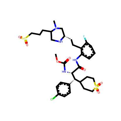 COC(=O)N[C@H](C(=O)Nc1cccc(F)c1CC[C@H]1CN(C)C(CCC[SH](=O)=O)CN1)[C@@H](c1ccc(Cl)cc1)C1CCS(=O)(=O)CC1